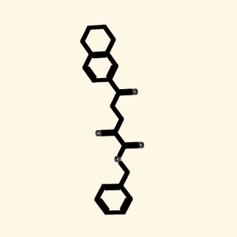 O=C(CCC(=O)c1ccc2c(c1)CCCC2)C(=O)OCc1ccccc1